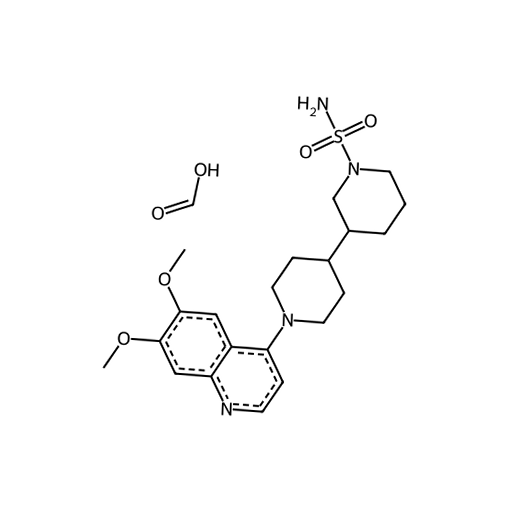 COc1cc2nccc(N3CCC(C4CCCN(S(N)(=O)=O)C4)CC3)c2cc1OC.O=CO